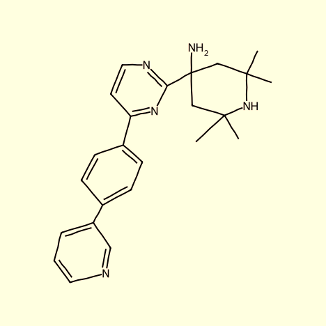 CC1(C)CC(N)(c2nccc(-c3ccc(-c4cccnc4)cc3)n2)CC(C)(C)N1